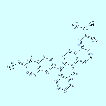 C=C(/C=C(\C=C/CC)c1ccc2c(-c3ccc(C)c(/C=C\C=C/C)c3)c3ccccc3cc2c1)P(C)C